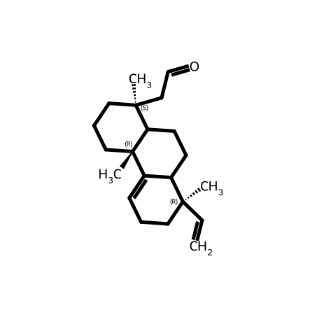 C=C[C@@]1(C)CCC=C2C1CCC1[C@](C)(CC=O)CCC[C@@]21C